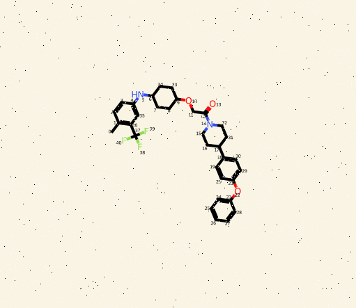 Cc1ccc(NC2CCC(OCC(=O)N3CCC(c4ccc(Oc5ccccc5)cc4)CC3)CC2)cc1C(F)(F)F